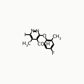 Cc1cc(F)ccc1Oc1nnc(I)c(C)c1C(=O)O